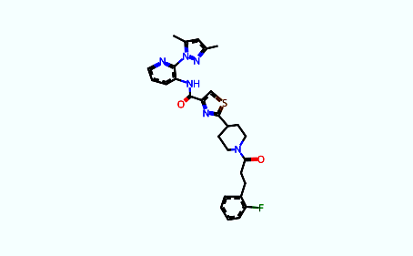 Cc1cc(C)n(-c2ncccc2NC(=O)c2csc(C3CCN(C(=O)CCc4ccccc4F)CC3)n2)n1